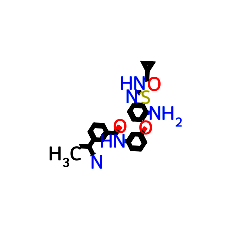 CCC(C#N)c1cccc(C(=O)Nc2cccc(Oc3ccc4nc(NC(=O)C5CC5)sc4c3N)c2)c1